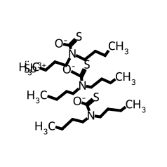 CCCCN(CCCC)C([O-])=S.CCCCN(CCCC)C([O-])=S.CCCCN(CCCC)C([O-])=S.[Sb+3]